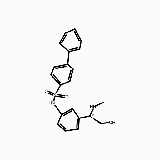 CN[C@@H](CO)c1cccc(NS(=O)(=O)c2ccc(-c3ccccc3)cc2)c1